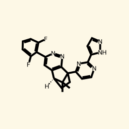 CC1(C)[C@H]2CCC1(c1ccnc(-c3ccn[nH]3)n1)c1nnc(-c3c(F)cccc3F)cc12